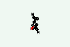 N#Cc1ccc(-c2ccc(-n3c4ccccc4c4cc(C#N)ccc43)cc2)c(-c2ccccc2-n2c3ccccc3c3cc(C#N)ccc32)c1